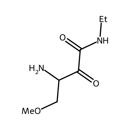 CCNC(=O)C(=O)C(N)COC